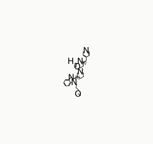 COCCCn1c([C@@H]2CCCN(C(=O)C[C@H](N)Cc3ccncc3)C2)nc2ccccc21